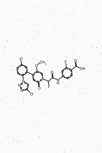 COc1cn(C(F)C(=O)Nc2ccc(C(=O)O)c(F)c2)c(=O)cc1-c1cc(Cl)ccc1-n1cc(Cl)nn1